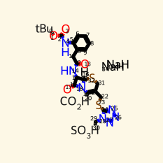 CC(C)(C)OC(=O)Nc1ccccc1CC(=O)NC1C(=O)N2C(C(=O)O)=C(CSc3nnnn3CS(=O)(=O)O)CS[C@H]12.[NaH].[NaH]